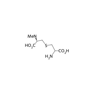 CN[C@@H](CSCC(N)C(=O)O)C(=O)O